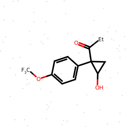 CCC(=O)C1(c2ccc(OC(F)(F)F)cc2)CC1O